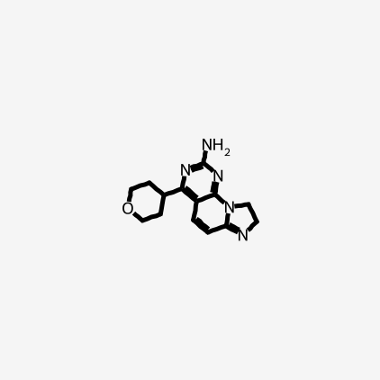 Nc1nc(C2CCOCC2)c2c(n1)N1CCN=C1C=C2